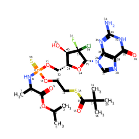 CC(C)OC(=O)C(C)NP(=S)(OCCSC(=O)C(C)(C)C)OC[C@H]1O[C@@H](n2cnc3c(=O)[nH]c(N)nc32)[C@@](F)(Cl)[C@@H]1O